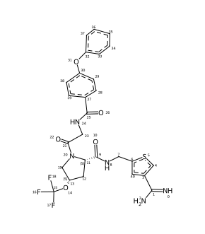 N=C(N)c1csc(CNC(=O)[C@@H]2C[C@H](OC(F)(F)F)CN2C(=O)CNC(=O)c2ccc(Oc3ccccc3)cc2)c1